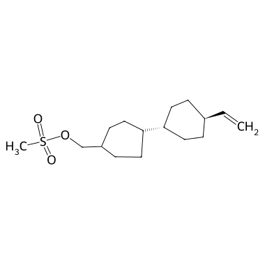 C=C[C@H]1CC[C@H](C2CCC(COS(C)(=O)=O)CC2)CC1